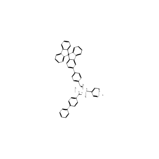 c1ccc(-c2ccc(-c3nc(-c4ccncc4)nc(-c4ccc(-c5ccc6c(c5)-c5ccccc5C65c6ccccc6-c6ccccc65)cc4)n3)cc2)cc1